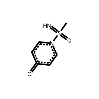 CS(=N)(=O)n1ccc(=O)cc1